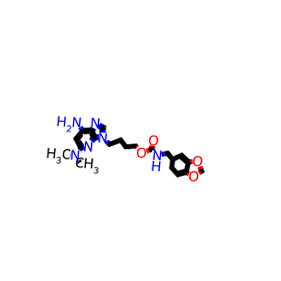 CN(C)c1cc(N)c2ncn(CCCCOC(=O)NCC3C=C4OCOC4=CC3)c2n1